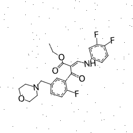 CCOC(=O)/C(=C/Nc1ccc(F)c(F)c1)C(=O)c1cc(CN2CCOCC2)ccc1F